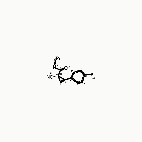 CC(C)NC(=O)[C@]1(C#N)C=C1c1ccc(Br)cc1